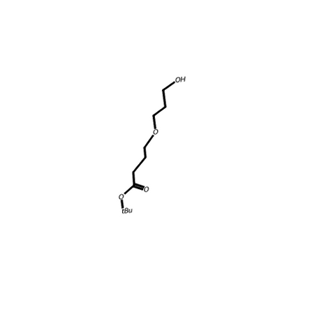 CC(C)(C)OC(=O)CCCOCCCO